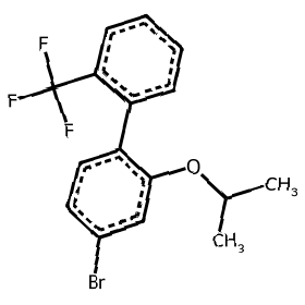 CC(C)Oc1cc(Br)ccc1-c1ccccc1C(F)(F)F